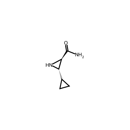 NC(=O)[C@@H]1N[C@H]1C1CC1